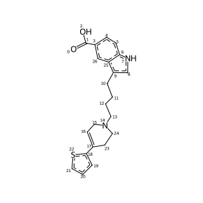 O=C(O)c1ccc2[nH]cc(CCCCN3CC=C(c4cccs4)CC3)c2c1